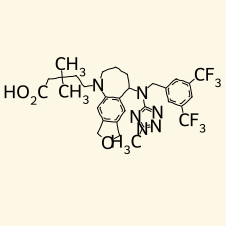 Cn1nnc(N(Cc2cc(C(F)(F)F)cc(C(F)(F)F)c2)C2CCCN(CCC(C)(C)CC(=O)O)c3cc4c(cc32)COC4)n1